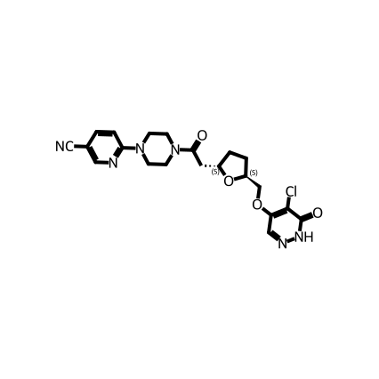 N#Cc1ccc(N2CCN(C(=O)C[C@@H]3CC[C@@H](COc4cn[nH]c(=O)c4Cl)O3)CC2)nc1